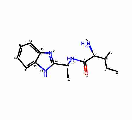 CCC(C)[C@H](N)C(=O)N[C@@H](C)c1nc2ccccc2[nH]1